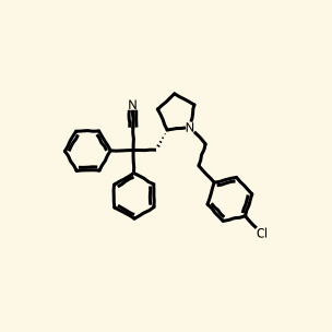 N#CC(C[C@@H]1CCCN1CCc1ccc(Cl)cc1)(c1ccccc1)c1ccccc1